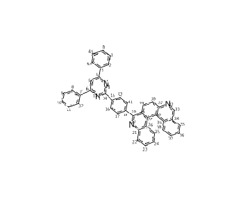 c1ccc(-c2cc(-c3ccccc3)nc(-c3ccc(-c4nc5ccccc5c5c4ccc4ncc6ccccc6c45)cc3)n2)cc1